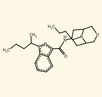 CCCCN1C2COCC1CC(NC(=O)c1nn(C(C)CCC)c3ccccc13)C2